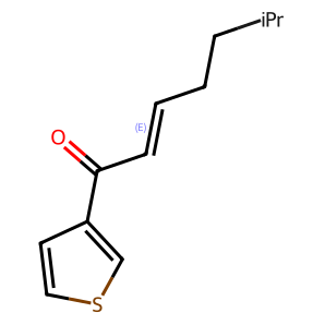 CC(C)CC/C=C/C(=O)c1ccsc1